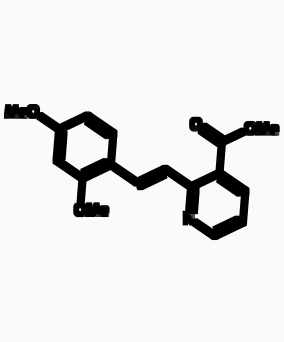 COC(=O)c1cccnc1/C=C/c1ccc(OC)cc1OC